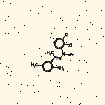 CCCN(/N=C(\C)c1cc(C)ccc1N)c1cccc(Cl)c1Cl